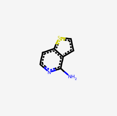 Nc1nccc2sccc12